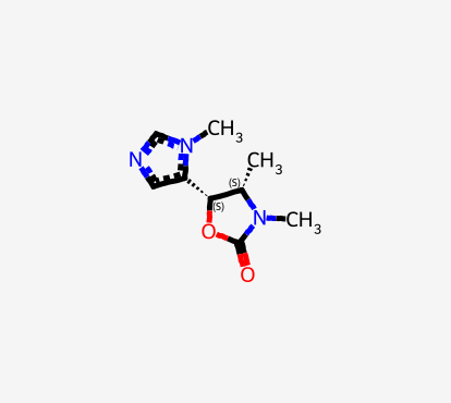 C[C@H]1[C@@H](c2cncn2C)OC(=O)N1C